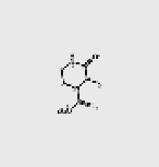 CC(C)COC(=O)N1CCNC(=O)C1C